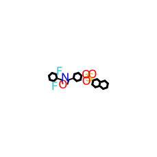 O=S(=O)(Oc1ccc(C2COC(c3c(F)cccc3F)=N2)cc1)c1ccc2ccccc2c1